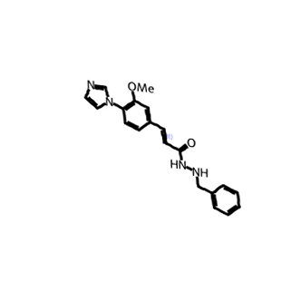 COc1cc(/C=C/C(=O)NNCc2ccccc2)ccc1-n1ccnc1